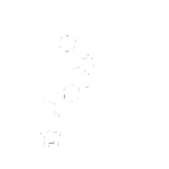 CCCC[C@H](c1ccc(C(=O)NCc2nn[nH]n2)cc1)N1C(=O)C(c2ccc(F)c(Cl)c2)=NC12CCC(C(C)(C)C)CC2